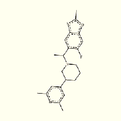 Cc1cc(C2CCCN(C(C)c3cc4nc(C)oc4cc3F)C2)cc(C)n1